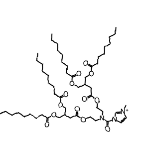 CCCCCCCCC(=O)OCC(COC(=O)CCCCCCCC)CC(=O)OCCN(CCOC(=O)CC(COC(=O)CCCCCCCC)COC(=O)CCCCCCCC)C(=O)n1cc[n+](C)c1